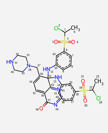 CC(Cl)S(=O)(=O)c1cccc(NC2(Nc3cccc(S(=O)(=O)C(C)Cl)c3)C(CN3CCNCC3)=CC=C3C(=O)N=CN=C32)c1